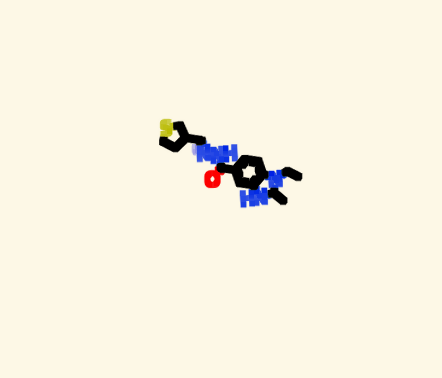 CCN1c2ccc(C(=O)N/N=C/C3CCSC3)cc2NC1C